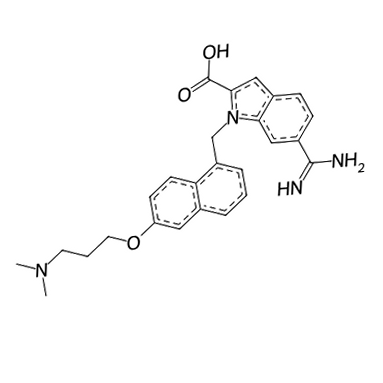 CN(C)CCCOc1ccc2c(Cn3c(C(=O)O)cc4ccc(C(=N)N)cc43)cccc2c1